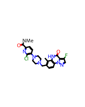 CNC(=O)c1ccc(N2CCN(Cc3ccc4c([nH]c(=O)c5c(F)cnn54)c3C)CC2)c(Cl)n1